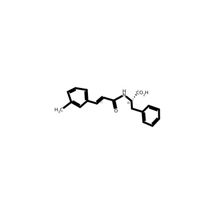 Cc1cccc(/C=C/C(=O)N[C@@H](Cc2ccccc2)C(=O)O)c1